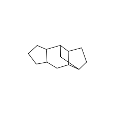 C1CC2CC3C4CCC3C(C4)C2C1